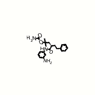 CC(C)(C[C@@H](CCc1ccccc1)C(=O)Nc1cccc(N)c1)OC(N)=O